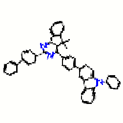 CC1(C)c2ccccc2-c2nc(-c3ccc(-c4ccccc4)cc3)nc(-c3ccc(-c4ccc5c(c4)c4ccccc4n5-c4ccccc4)cc3)c21